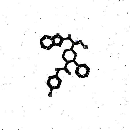 N#C/N=C(/Nc1nc2ccccc2s1)N1CCN(C(=O)Nc2ccc(Cl)cc2)C(c2ccccc2)C1